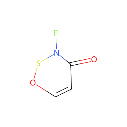 O=C1C=COSN1F